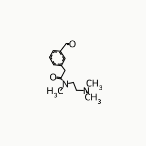 CN(C)CCN(C)C(=O)Cc1cccc(C=O)c1